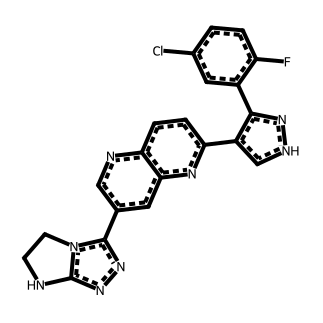 Fc1ccc(Cl)cc1-c1n[nH]cc1-c1ccc2ncc(-c3nnc4n3CCN4)cc2n1